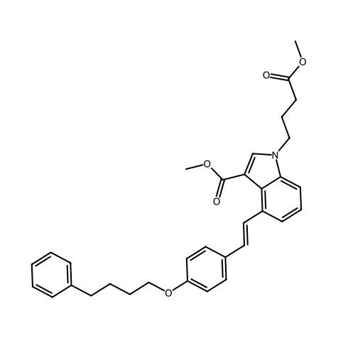 COC(=O)CCCn1cc(C(=O)OC)c2c(C=Cc3ccc(OCCCCc4ccccc4)cc3)cccc21